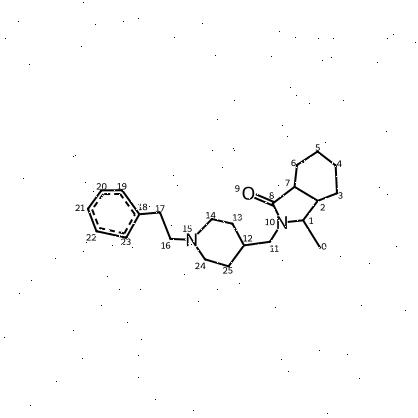 CC1C2CCCCC2C(=O)N1CC1CCN(CCc2ccccc2)CC1